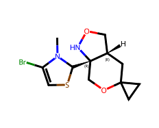 CN1C(Br)=CSC1[C@]12COC3(CC3)C[C@H]1CON2